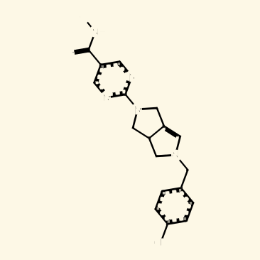 O=C(NO)c1cnc(N2CC3=CN(Cc4ccc(Cl)cc4)CC3C2)nc1